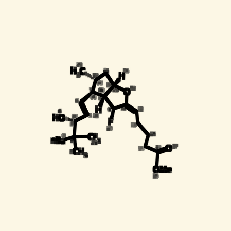 CCCCC(C)([C@H](O)C=C[C@@H]1[C@H]2C(F)C(=CCCCC(=O)OC)O[C@H]2C[C@H]1C)C(F)(F)F